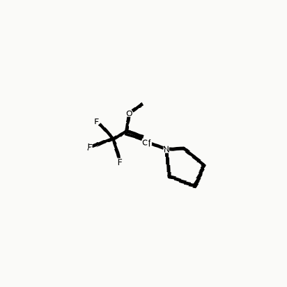 CO[C](=[Cf][N]1CCCC1)C(F)(F)F